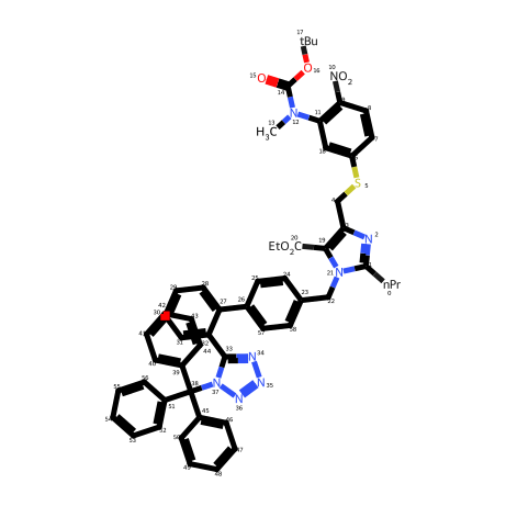 CCCc1nc(CSc2ccc([N+](=O)[O-])c(N(C)C(=O)OC(C)(C)C)c2)c(C(=O)OCC)n1Cc1ccc(-c2ccccc2-c2nnnn2C(c2ccccc2)(c2ccccc2)c2ccccc2)cc1